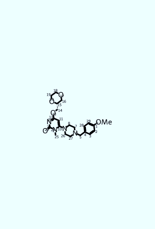 COc1ccc(CN2CCN(c3cc(OC[C@H]4COCCO4)nc(=O)n3C)CC2)cc1